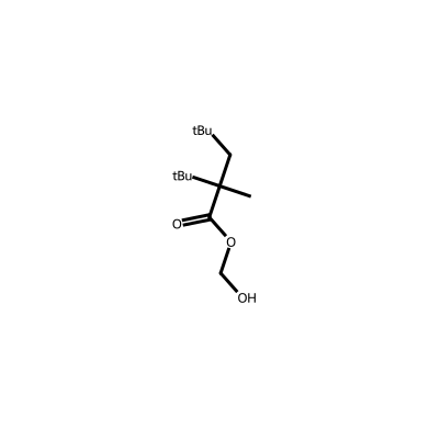 CC(C)(C)CC(C)(C(=O)OCO)C(C)(C)C